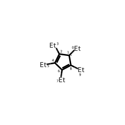 CC[C]1C(CC)=C(CC)C(CC)=C1CC